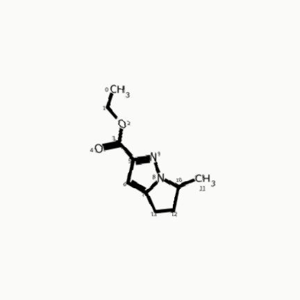 CCOC(=O)c1cc2n(n1)C(C)CC2